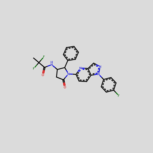 CC(F)(F)C(=O)NC1CC(=O)N(c2ccc3c(cnn3-c3ccc(F)cc3)n2)C1c1ccccc1